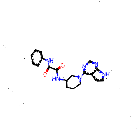 O=C(Nc1ccccc1)C(=O)NC1CCCN(c2ncnc3[nH]ccc23)C1